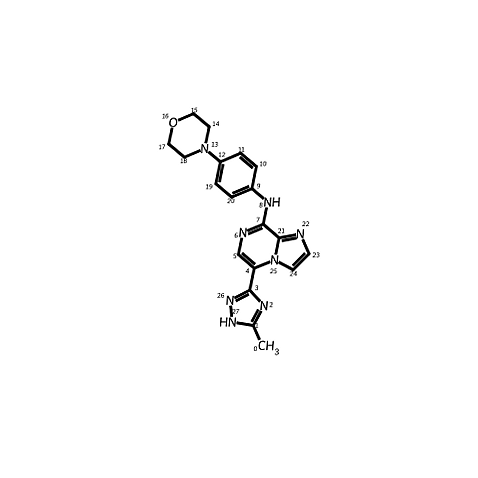 Cc1nc(-c2cnc(Nc3ccc(N4CCOCC4)cc3)c3nccn23)n[nH]1